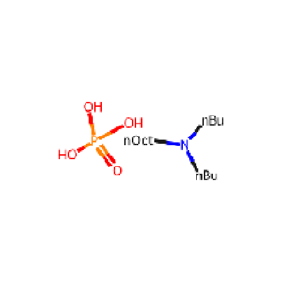 CCCCCCCCN(CCCC)CCCC.O=P(O)(O)O